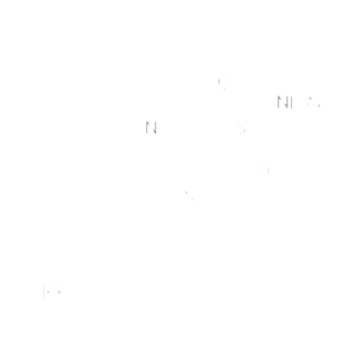 CC(=O)NS(=O)(=O)c1ncc(CCO)s1